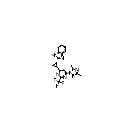 Cc1nc(C)n(-c2cc(C3C[C@@H]3c3nc4ccccc4n3C)nc(C(F)(F)F)n2)n1